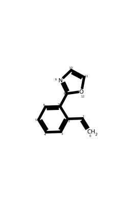 C=Cc1ccccc1-c1ncco1